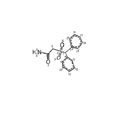 NC(=O)CS(=O)(=O)C(c1ccccc1)c1ccccc1